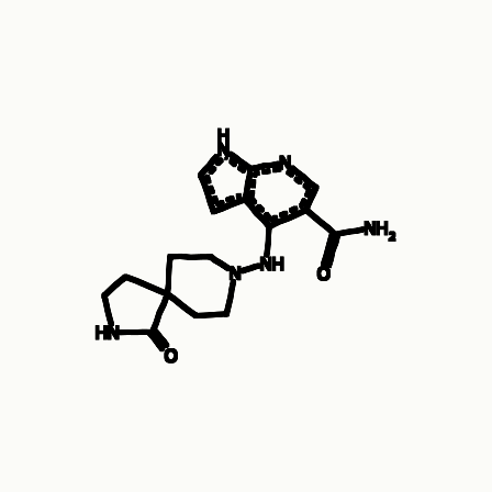 NC(=O)c1cnc2[nH]ccc2c1NN1CCC2(CCNC2=O)CC1